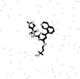 Cn1cc(S(=O)(=O)Nc2nc(OCCC(C)(C)O)cc(-c3cccc4ccncc34)n2)cn1